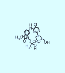 Cn1c(=O)n(CCC(C)(C)O)c2cc(Nc3nc(N4CCOC(CO)C4)ncc3Cl)ccc21